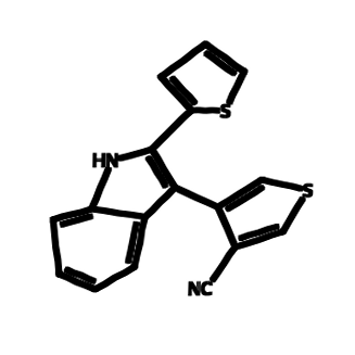 N#Cc1cscc1-c1c(-c2cccs2)[nH]c2ccccc12